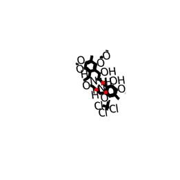 COCOc1c(C)c2c(c3c1[C@H](O)[C@H]1[C@H]4c5c(cc(C)c(OC)c5O)C[C@@H]([C@H]5OC[C@@H]3N15)N4C(=O)OCC(Cl)(Cl)Cl)OCO2